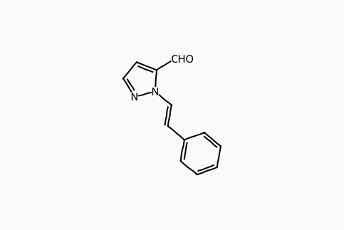 O=Cc1ccnn1C=Cc1ccccc1